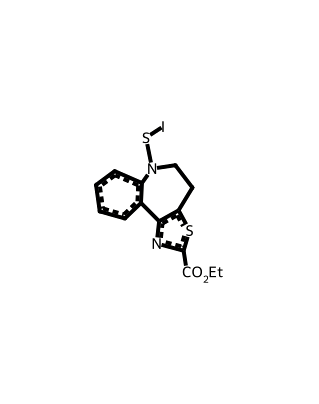 CCOC(=O)c1nc2c(s1)CCN(SI)c1ccccc1-2